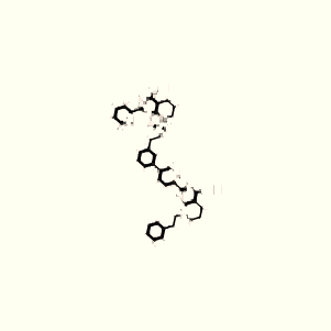 O=S(=O)(CCc1cccc(-c2ccc(-c3nc(O)c4c(n3)N(CCc3ccccc3)CCC4)nc2)c1)N1CCCc2c(O)nc(-c3ccccn3)nc21